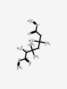 C=NC(=O)CC(C)(C)CC(C)(C)C(C)C(=O)N=C